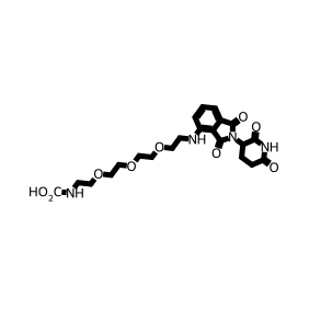 O=C(O)NCCOCCOCCOCCNc1cccc2c1C(=O)N(C1CCC(=O)NC1=O)C2=O